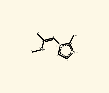 CN/C(C)=C\n1ccnc1C